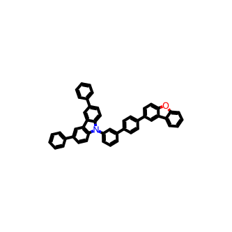 c1ccc(-c2ccc3c(c2)c2cc(-c4ccccc4)ccc2n3-c2cccc(-c3ccc(-c4ccc5oc6ccccc6c5c4)cc3)c2)cc1